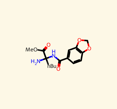 CCCCC(N)(NC(=O)c1ccc2c(c1)OCO2)C(=O)OC